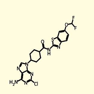 Nc1nc(Cl)nc2c1ncn2C1CCC(C(=O)Nc2nc3ccc(OC(F)F)cc3s2)CC1